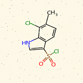 Cc1ccc2c(S(=O)(=O)Cl)c[nH]c2c1Cl